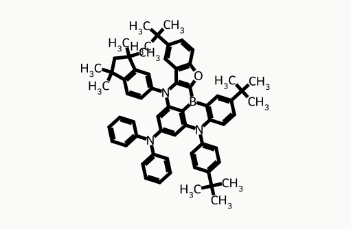 CC(C)(C)c1ccc(N2c3ccc(C(C)(C)C)cc3B3c4oc5ccc(C(C)(C)C)cc5c4N(c4ccc5c(c4)C(C)(C)CC5(C)C)c4cc(N(c5ccccc5)c5ccccc5)cc2c43)cc1